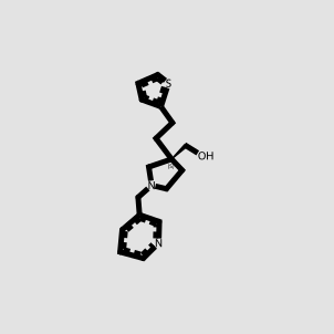 OC[C@@]1(CCc2cccs2)CCN(Cc2cccnc2)C1